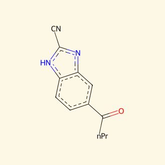 CCCC(=O)c1ccc2[nH]c(C#N)nc2c1